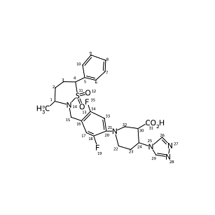 CC1CCC(c2ccccc2)S(=O)(=O)N1Cc1cc(F)c(N2CCC(n3cnnc3)C(C(=O)O)C2)cc1F